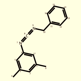 Cc1cc(C)cc(N=C=NCc2ccccc2)c1